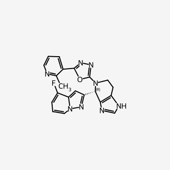 Cc1ncccc1-c1nnc(N2CCc3[nH]cnc3[C@@H]2c2cc3c(F)cccn3n2)o1